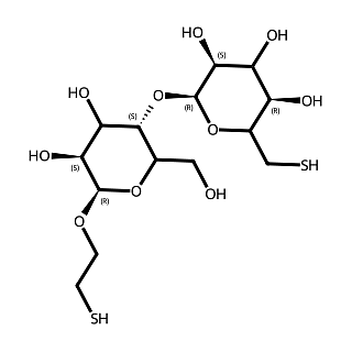 OCC1O[C@@H](OCCS)[C@@H](O)C(O)[C@@H]1O[C@@H]1OC(CS)[C@H](O)C(O)[C@@H]1O